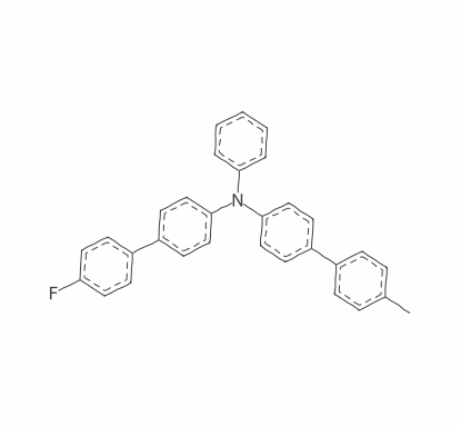 Cc1ccc(-c2ccc(N(c3ccccc3)c3ccc(-c4ccc(F)cc4)cc3)cc2)cc1